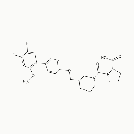 COc1cc(F)c(F)cc1-c1ccc(OCC2CCCN(C(=O)N3CCCC3C(=O)O)C2)cc1